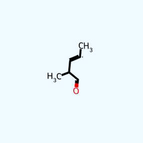 C/[C]=C/C(C)C=O